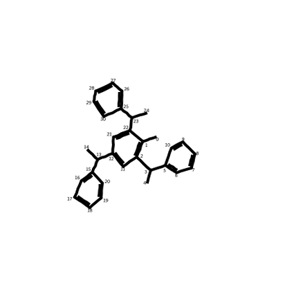 Cc1c(C(C)c2ccccc2)cc(C(C)c2ccccc2)cc1C(C)c1ccccc1